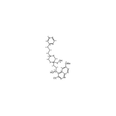 COc1ccc2ncc(Cl)c([C@@H](O)CCC3(CO)CCN(CCSc4cccnc4)CC3)c2c1